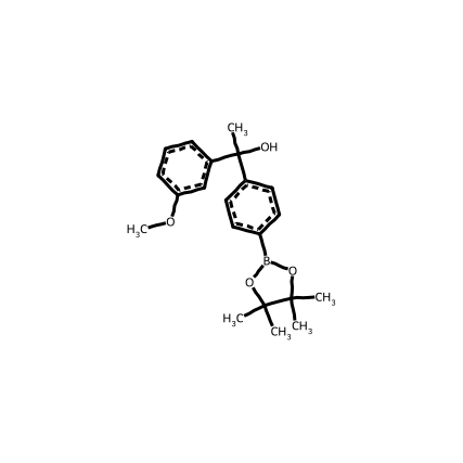 COc1cccc(C(C)(O)c2ccc(B3OC(C)(C)C(C)(C)O3)cc2)c1